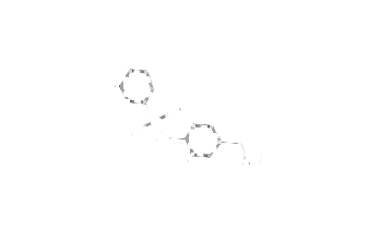 NCc1ccc(OS(=O)(=O)c2ccccc2)cc1